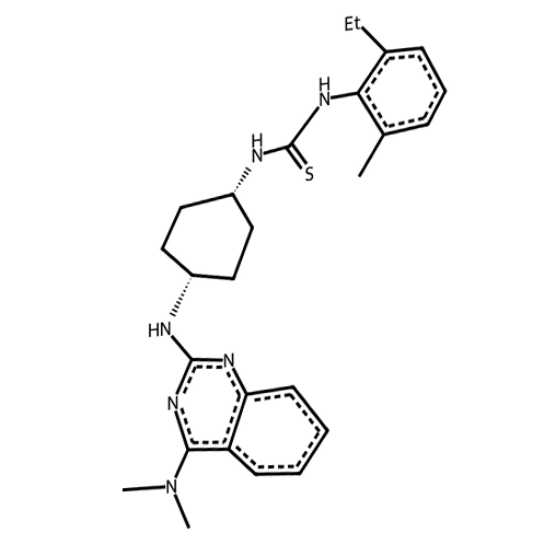 CCc1cccc(C)c1NC(=S)N[C@H]1CC[C@@H](Nc2nc(N(C)C)c3ccccc3n2)CC1